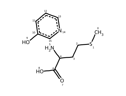 CSCCC(N)C(=O)O.Oc1cccnc1